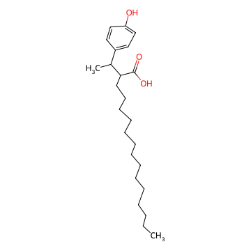 CCCCCCCCCCCCCCC(C(=O)O)C(C)c1ccc(O)cc1